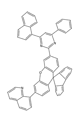 c1ccc(-c2cc(-c3cccc4ccccc34)nc(-c3ccc4c(c3)Oc3cc(-c5cccc6cccnc56)ccc3C43c4ccccc4-c4ccccc43)n2)cc1